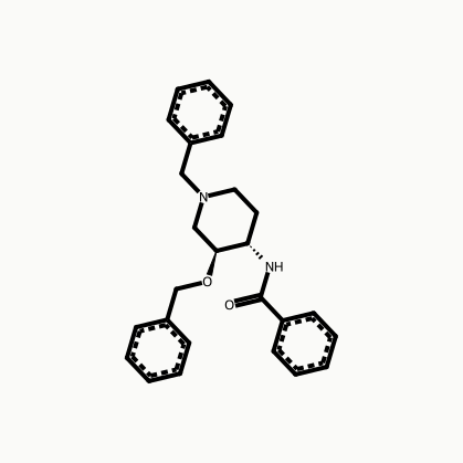 O=C(N[C@H]1CCN(Cc2ccccc2)C[C@@H]1OCc1ccccc1)c1ccccc1